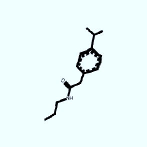 CCCNC(=O)Cc1ccc(C(C)C)cc1